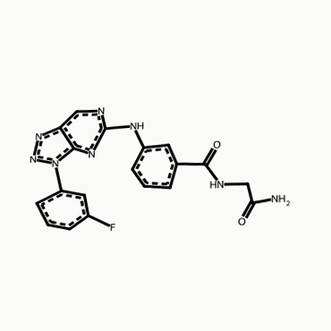 NC(=O)CNC(=O)c1cccc(Nc2ncc3nnn(-c4cccc(F)c4)c3n2)c1